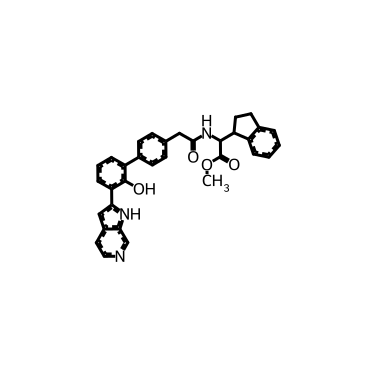 COC(=O)C(NC(=O)Cc1ccc(-c2cccc(-c3cc4ccncc4[nH]3)c2O)cc1)C1CCc2ccccc21